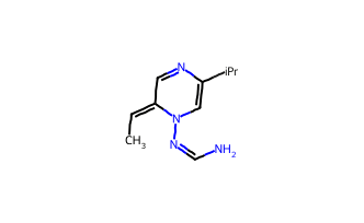 C/C=C1/C=NC(C(C)C)=CN1/N=C\N